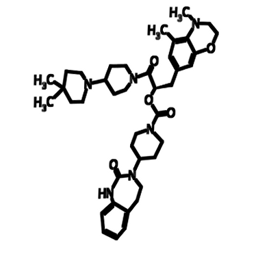 Cc1cc(C[C@@H](OC(=O)N2CCC(N3CCc4ccccc4NC3=O)CC2)C(=O)N2CCC(N3CCC(C)(C)CC3)CC2)cc2c1N(C)CCO2